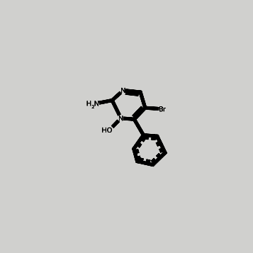 NC1N=CC(Br)=C(c2ccccc2)N1O